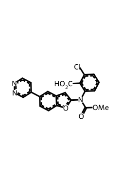 COC(=O)N(c1cc2cc(-c3ccnnc3)ccc2o1)c1cccc(Cl)c1C(=O)O